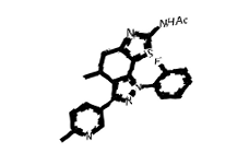 CC(=O)Nc1nc2c(s1)-c1c(c(-c3ccc(C)nc3)nn1-c1ccccc1F)C(C)C2